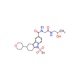 CCN(CC(=O)NCC(C)O)C(=O)c1ccc2c(c1)c1c(n2S(=O)(=O)CC)CCC(C2CCOCC2)C1